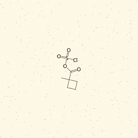 CC1(C(=O)OS(=O)(=O)Cl)CCC1